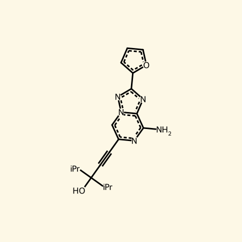 CC(C)C(O)(C#Cc1cn2nc(-c3ccco3)nc2c(N)n1)C(C)C